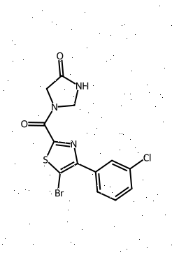 O=C1CN(C(=O)c2nc(-c3cccc(Cl)c3)c(Br)s2)CN1